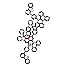 c1ccc(-c2c(N(c3ccc(-c4cccc5c4sc4ccccc45)cc3)c3ccc4c(c3)C(c3ccccc3)(c3ccccc3)c3cc(-c5cccc(-c6c(N(c7ccc(-c8cccc9c8sc8ccccc89)cc7)c7ccc8c(c7)-c7ccccc7C8(c7ccccc7)c7ccccc7)c7ccccc7c7ccccc67)c5)ccc3-4)c3ccccc3c3ccccc23)cc1